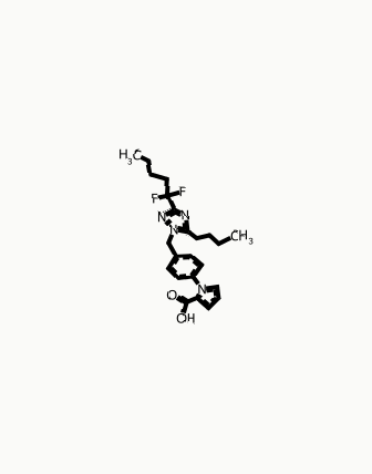 CCCCc1nc(C(F)(F)CCCC)nn1Cc1ccc(-n2cccc2C(=O)O)cc1